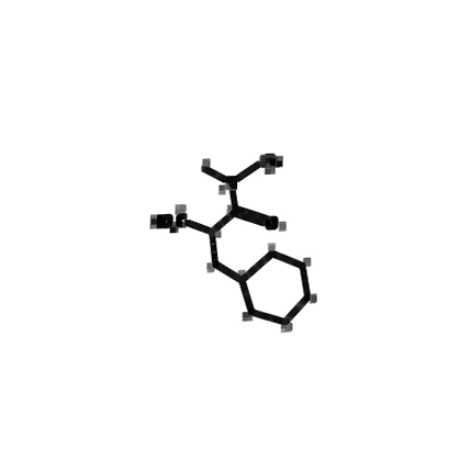 CN(C(=O)C(CC1CCCCC1)C(=O)O)C(C)(C)C